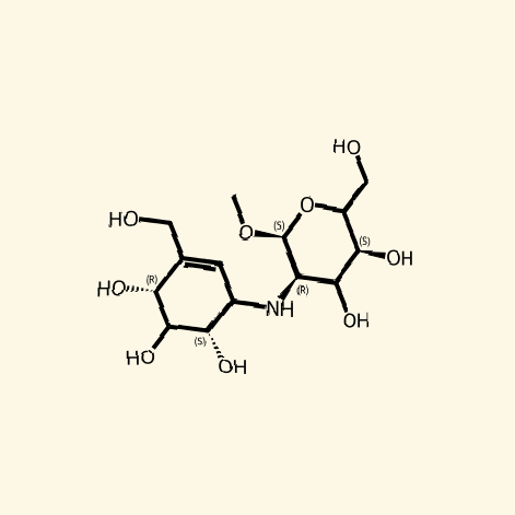 CO[C@H]1OC(CO)[C@@H](O)C(O)[C@H]1NC1C=C(CO)[C@@H](O)C(O)[C@H]1O